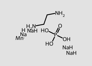 NCCN.O=P(O)(O)O.[Mn].[NaH].[NaH].[NaH].[NaH]